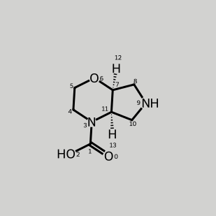 O=C(O)N1CCO[C@H]2CNC[C@H]21